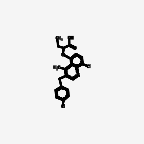 CCC(Oc1ccc(Cl)c2ncc(Cc3ccc(Cl)cc3)c(C)c12)C(=O)O